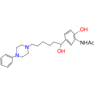 CC(=O)Nc1cc(C(O)CCCCCN2CCN(c3ccccc3)CC2)ccc1O